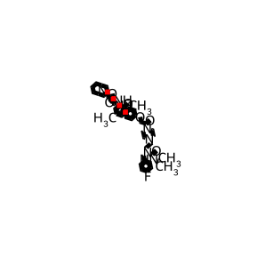 COc1ccc(C)cc1NC(=O)OC1CC2CCCC(C1)N2CCCCNCc1ccc(OCC(=O)N2CCN(CCN(Cc3ccc(F)cc3)C(=O)NC(C)C)CC2)cc1